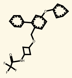 O=C(NC1CC(OCc2ccc(Oc3ccccc3)cc2-c2ccccc2)C1)C(F)(F)F